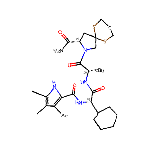 CNC(=O)[C@@H]1CC2(CN1C(=O)[C@@H](NC(=O)[C@@H](NC(=O)c1[nH]c(C)c(C)c1C(C)=O)C1CCCCC1)C(C)(C)C)SCCCS2